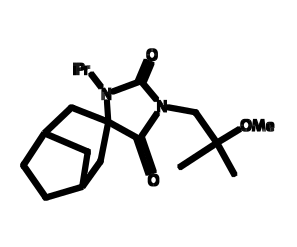 COC(C)(C)CN1C(=O)N(C(C)C)C2(CC3CCC(C3)C2)C1=O